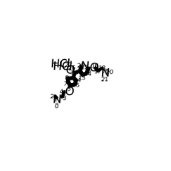 CN(C)CCOc1ccc(C(=O)c2ccc(OCCN(C)C)nc2)cc1.Cl.Cl